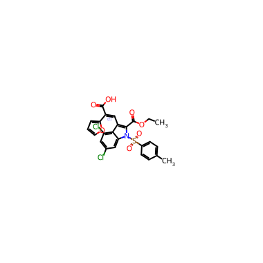 CCOC(=O)c1c(/C=C(/C(=O)O)c2ccco2)c2c(Cl)cc(Cl)cc2n1S(=O)(=O)c1ccc(C)cc1